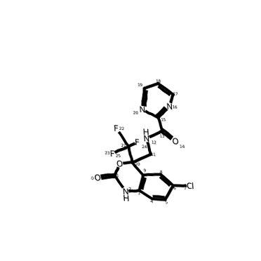 O=C1Nc2ccc(Cl)cc2C(CNC(=O)c2ncccn2)(C(F)(F)F)O1